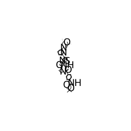 C[C@@H]1CN(c2cccc(-c3csc(NC(=O)C4CCN4C(=O)c4ccc(NC(=O)OC(C)(C)C)cc4)n3)n2)C[C@H](C)O1